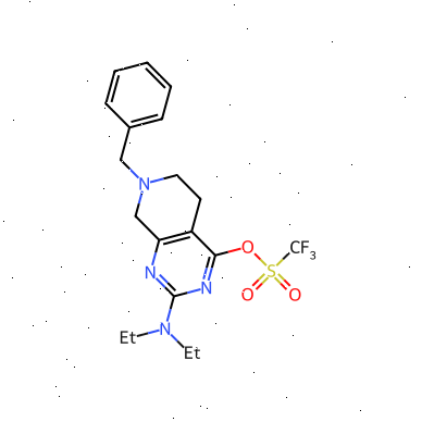 CCN(CC)c1nc2c(c(OS(=O)(=O)C(F)(F)F)n1)CCN(Cc1ccccc1)C2